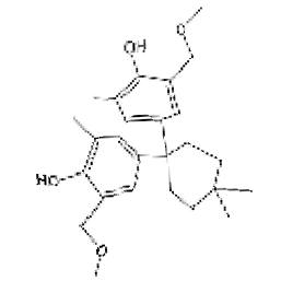 COCc1cc(C2(c3cc(C)c(O)c(COC)c3)CCC(C)(C)CC2)cc(C)c1O